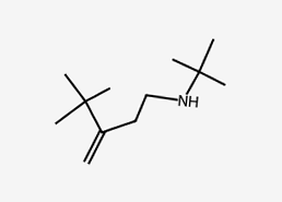 C=C(CCNC(C)(C)C)C(C)(C)C